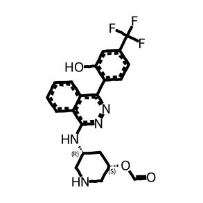 O=CO[C@@H]1CNC[C@H](Nc2nnc(-c3ccc(C(F)(F)F)cc3O)c3ccccc23)C1